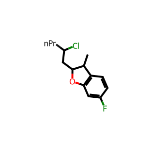 CCCC(Cl)CC1Oc2cc(F)ccc2C1C